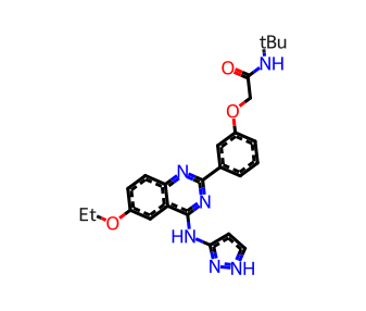 CCOc1ccc2nc(-c3cccc(OCC(=O)NC(C)(C)C)c3)nc(Nc3cc[nH]n3)c2c1